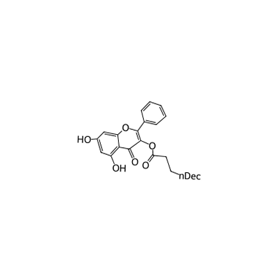 CCCCCCCCCCCCC(=O)Oc1c(-c2ccccc2)oc2cc(O)cc(O)c2c1=O